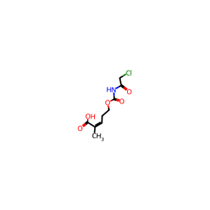 CC(=CCCOC(=O)NC(=O)CCl)C(=O)O